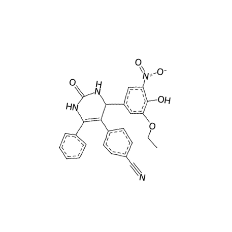 CCOc1cc(C2NC(=O)NC(c3ccccc3)=C2c2ccc(C#N)cc2)cc([N+](=O)[O-])c1O